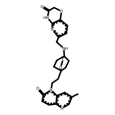 Cc1cnc2ccc(=O)n(CCC34CCC(NCc5ccc6c(n5)NC(=O)CO6)(CC3)CO4)c2c1